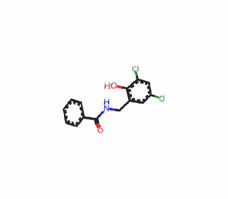 O=C(NCc1cc(Cl)cc(Cl)c1O)c1ccccc1